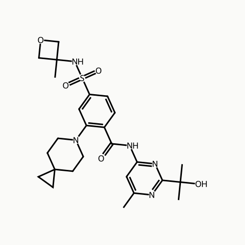 Cc1cc(NC(=O)c2ccc(S(=O)(=O)NC3(C)COC3)cc2N2CCC3(CC2)CC3)nc(C(C)(C)O)n1